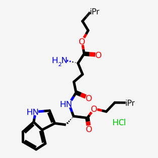 CC(C)CCOC(=O)[C@H](Cc1c[nH]c2ccccc12)NC(=O)CC[C@H](N)C(=O)OCCC(C)C.Cl